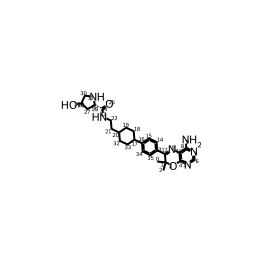 CC1(C)Oc2ncnc(N)c2N=C1c1ccc(C2CCC(CCNC(=O)[C@@H]3C[C@@H](O)CN3)CC2)cc1